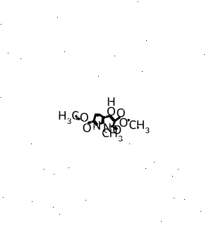 CCOC(=O)c1ccc2c(O)c(C(=O)OCC)c(=O)n(C)c2n1